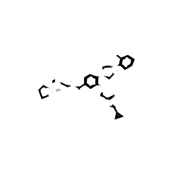 Cc1ccccc1N1CCN(c2ccc(C(=O)NCCS(=O)(=O)N3CCCC3)cc2NC(=O)c2coc(C3CC3)n2)CC1